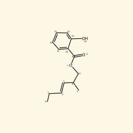 CCC=CC(C)COC(=O)c1ccccc1O